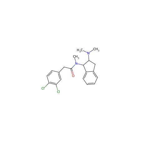 CN(C)C1Cc2ccccc2C1N(C)C(=O)Cc1ccc(Cl)c(Cl)c1